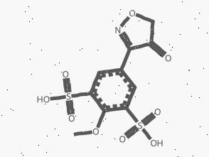 COc1c(S(=O)(=O)O)cc(C2=NOCC2=O)cc1S(=O)(=O)O